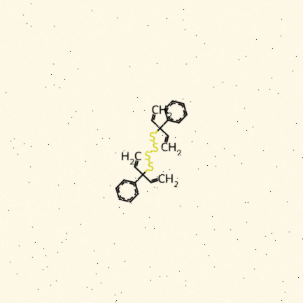 C=CC(C=C)(SSSSC(C=C)(C=C)c1ccccc1)c1ccccc1